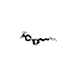 COCC/C=C/c1cncc(N2CCC(C(=O)O)CC2)n1